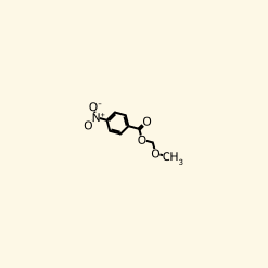 COCOC(=O)c1ccc([N+](=O)[O-])cc1